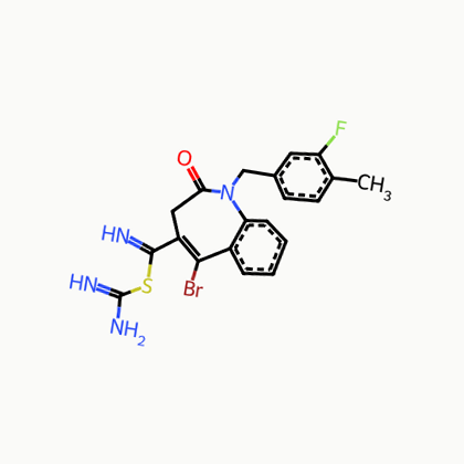 Cc1ccc(CN2C(=O)CC(C(=N)SC(=N)N)=C(Br)c3ccccc32)cc1F